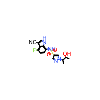 CC(O)C(C)n1cc(S(=O)(=O)Nc2ccc(F)c3c(C#N)c[nH]c23)cn1